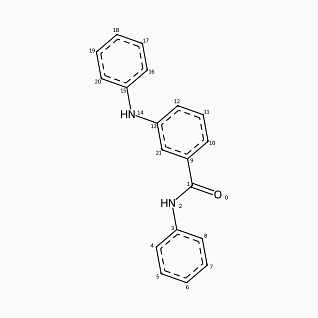 O=C(Nc1ccccc1)c1cccc(Nc2ccccc2)c1